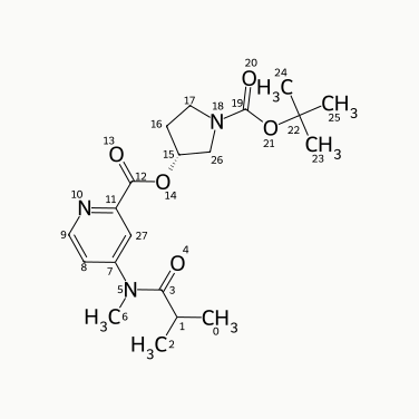 CC(C)C(=O)N(C)c1ccnc(C(=O)O[C@@H]2CCN(C(=O)OC(C)(C)C)C2)c1